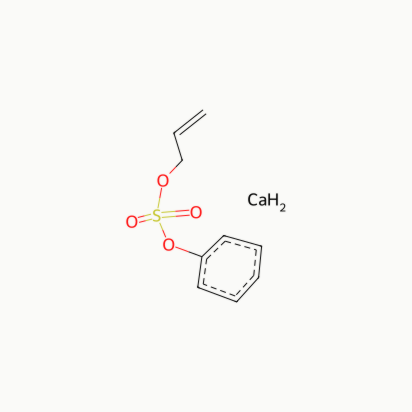 C=CCOS(=O)(=O)Oc1ccccc1.[CaH2]